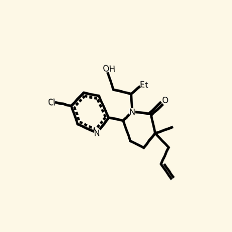 C=CCC1(C)CCC(c2ccc(Cl)cn2)N(C(CC)CO)C1=O